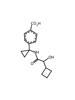 O=C(O)c1ccc(C2(NC(=O)C(O)C3CCC3)CC2)cc1